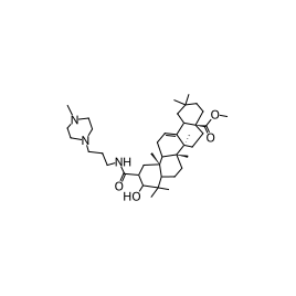 COC(=O)[C@]12CCC(C)(C)CC1C1=CCC3[C@@]4(C)CC(C(=O)NCCCN5CCN(C)CC5)C(O)C(C)(C)C4CC[C@@]3(C)[C@]1(C)CC2